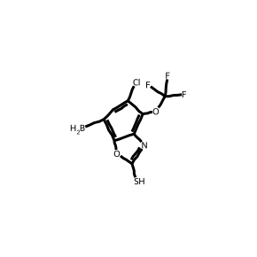 Bc1cc(Cl)c(OC(F)(F)F)c2nc(S)oc12